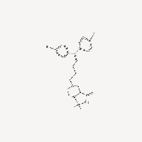 CC1(C)NC(=O)C2CN(CCCC=C(c3ccc(F)cc3)c3ccc(F)cc3)CCN21